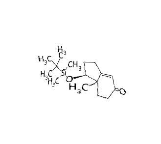 CC12CCC(=O)C=C1CC[C@@H]2O[Si](C)(C)C(C)(C)C